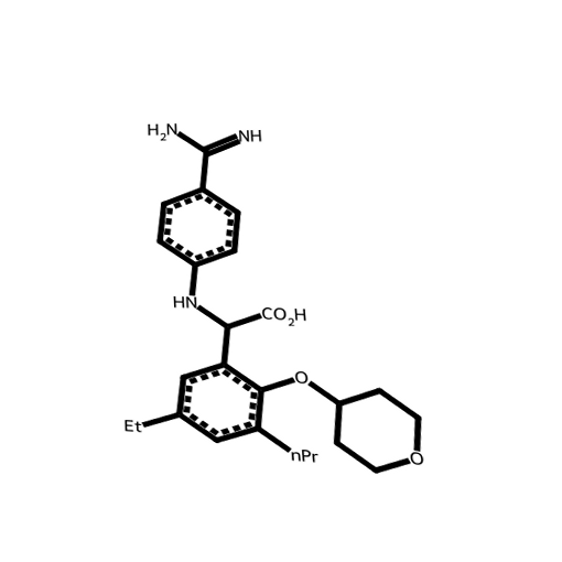 CCCc1cc(CC)cc(C(Nc2ccc(C(=N)N)cc2)C(=O)O)c1OC1CCOCC1